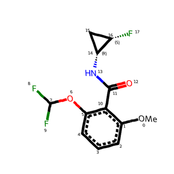 COc1cccc(OC(F)F)c1C(=O)N[C@@H]1C[C@@H]1F